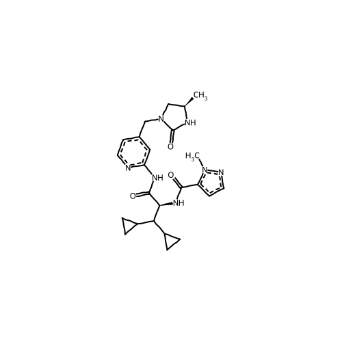 C[C@@H]1CN(Cc2ccnc(NC(=O)[C@@H](NC(=O)c3ccnn3C)C(C3CC3)C3CC3)c2)C(=O)N1